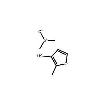 C[S+](C)[O-].Cc1occc1S